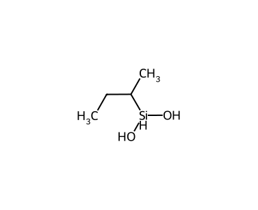 CCC(C)[SiH](O)O